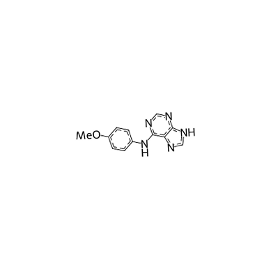 COc1ccc(Nc2ncnc3[nH]cnc23)cc1